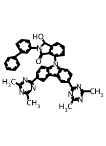 Cc1nc(C)nc(-c2ccc3c(c2)c2cc(-c4nc(C)nc(C)n4)ccc2n3-c2cccc3c2C(=O)N(c2cccc(-c4ccccc4)c2)C3O)n1